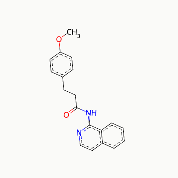 COc1ccc(CCC(=O)Nc2nccc3ccccc23)cc1